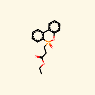 CCOC(=O)CCP1(=O)Oc2ccccc2-c2ccccc21